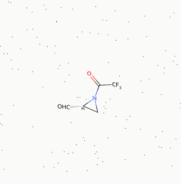 O=C[C@H]1CN1C(=O)C(F)(F)F